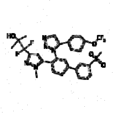 Cn1nc(C(F)(F)C(C)(C)O)cc1-c1ccc(-c2cccc(S(C)(=O)=O)c2)cc1-n1nncc1-c1ccc(OC(F)(F)F)cc1